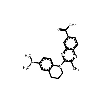 COC(=O)c1ccc2nc(C)c(N3CCCc4cc(N(C)C)ccc43)nc2c1